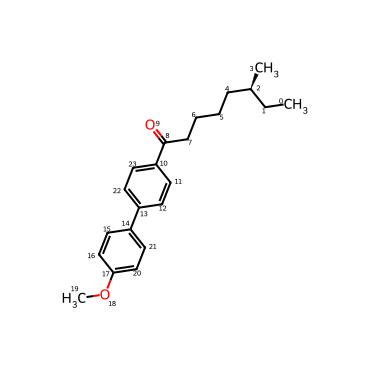 CC[C@H](C)CCCCC(=O)c1ccc(-c2ccc(OC)cc2)cc1